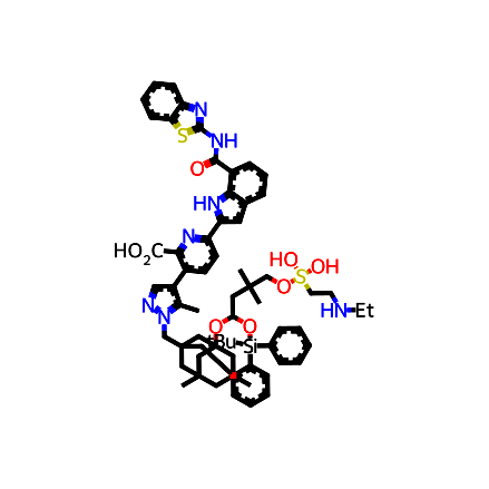 CCNCCS(O)(O)OCC(C)(C)CC(OC12CC3(C)CC(C)(CC(Cn4ncc(-c5ccc(-c6cc7cccc(C(=O)Nc8nc9ccccc9s8)c7[nH]6)nc5C(=O)O)c4C)(C3)C1)C2)O[Si](c1ccccc1)(c1ccccc1)C(C)(C)C